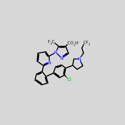 O=C(O)c1cnn(-c2cccc(-c3ccccc3-c3ccc(C4CCN(CCC(F)(F)F)C4)c(Cl)c3)n2)c1C(F)(F)F